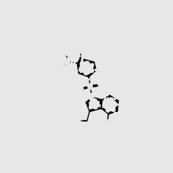 O=S(=O)(c1ccc(Cl)c(N(O)O)c1)n1cc(CO)c2c(O)cccc21